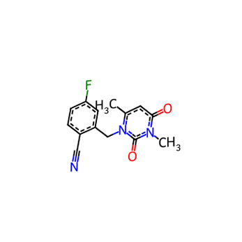 Cc1cc(=O)n(C)c(=O)n1Cc1cc(F)ccc1C#N